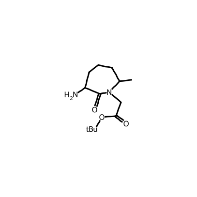 CC1CCCC(N)C(=O)N1CC(=O)OC(C)(C)C